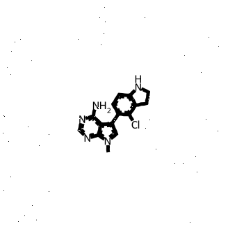 Cn1cc(-c2ccc3c(c2Cl)CCN3)c2c(N)ncnc21